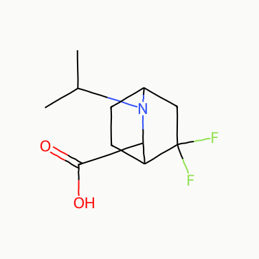 CC(C)N1C2CCC(C1C(=O)O)C(F)(F)C2